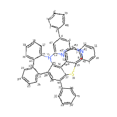 c1ccc(-c2cc(-c3ccccc3)nc(N3c4ccccc4-c4ccccc4-c4cc(-c5ccccc5)c5sc6cnccc6c5c43)c2)cc1